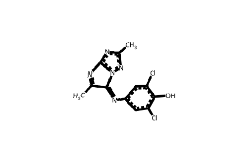 CC1=Nc2nc(C)nn2/C1=N\c1cc(Cl)c(O)c(Cl)c1